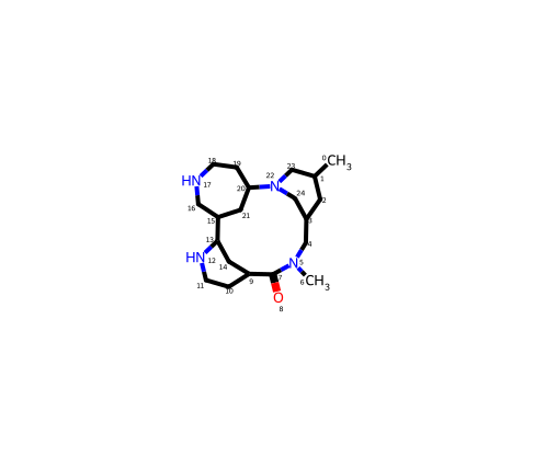 CC1CC2CN(C)C(=O)C3CCNC(C3)C3CNCCC(C3)N(C1)C2